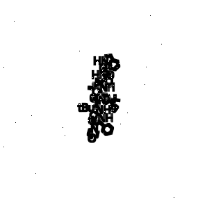 C=C[C@@H]1C[C@]1(NC(=O)[C@@H]1C[C@@]2(CN1C(=O)[C@@H](NC(=O)N[C@H](C(=O)N1CCOCC1)C1CCCCC1)C(C)(C)C)C(C)(C)C21CCC1)C(=O)NS(=O)(=O)c1cccc2cc[nH]c12